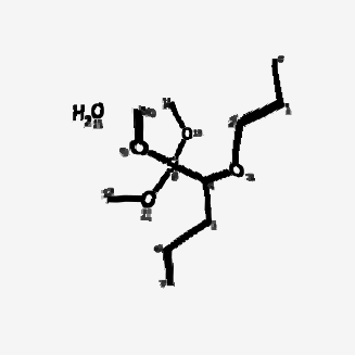 CCCOC(CCC)[Si](OC)(OC)OC.O